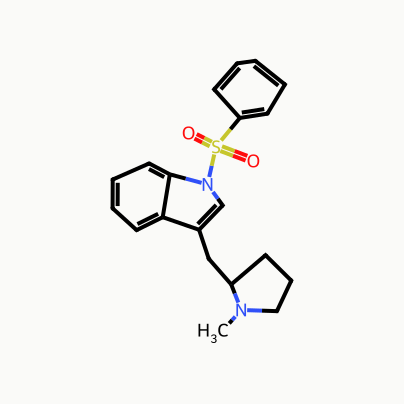 CN1CCCC1Cc1cn(S(=O)(=O)c2ccccc2)c2ccccc12